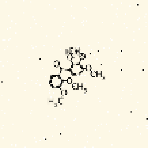 COc1cccc(C(=O)c2ccc(OC)c(OC)c2OC)c1OC